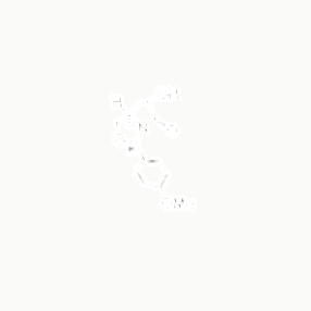 COc1ccc([C@H]2OC[C@@H]3CC(O)C(=O)N32)cc1